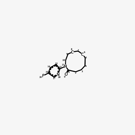 O=C1CCCCCCCCCN1c1ccc(F)cn1